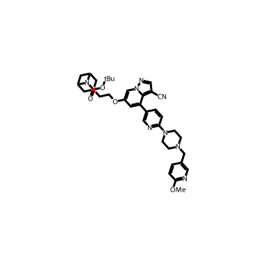 COc1ccc(CN2CCN(c3ccc(-c4cc(OCCN5CC6CC(C5)N6C(=O)OC(C)(C)C)cn5ncc(C#N)c45)cn3)CC2)cn1